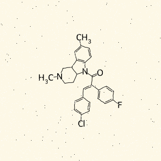 Cc1ccc2c(c1)C1CN(C)CCC1N2C(=O)/C(=C/c1ccc(Cl)cc1)c1ccc(F)cc1